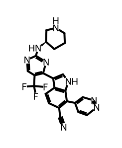 N#Cc1ccc2c(-c3nc(N[C@@H]4CCCNC4)ncc3C(F)(F)F)c[nH]c2c1-c1ccnnc1